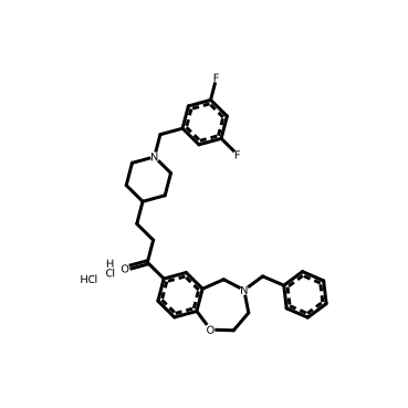 Cl.Cl.O=C(CCC1CCN(Cc2cc(F)cc(F)c2)CC1)c1ccc2c(c1)CN(Cc1ccccc1)CCO2